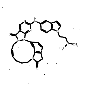 CN(C)CCn1ccc2cc(Nc3ncc4c(=O)n5n(c4n3)-c3ccc4c(c3)N(CCC/C=C\C5)C(=O)C4)ccc21